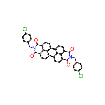 O=C1c2ccc3c4ccc5c6c(ccc(c7ccc(c2c37)C(=O)N1Cc1ccc(Cl)cc1)c64)C(=O)N(Cc1ccc(Cl)cc1)C5=O